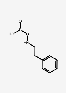 OP(O)ONCCc1ccccc1